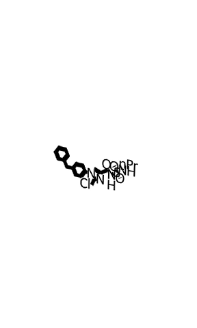 CCCNS(=O)(=O)NC(=O)c1cn(-c2ccc(Cc3ccccc3)cc2Cl)c(C)n1